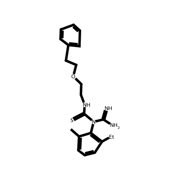 CCc1cccc(C)c1N(C(=N)N)C(=S)NCCOCCc1ccccc1